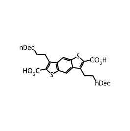 CCCCCCCCCCCCc1c(C(=O)O)sc2cc3c(CCCCCCCCCCCC)c(C(=O)O)sc3cc12